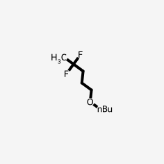 CCCCOCCCC(C)(F)F